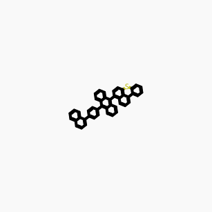 c1ccc2c(c1)Sc1ccc(-c3c4ccccc4c(-c4ccc(-c5cccc6ccccc56)cc4)c4ccccc34)c3cccc-2c13